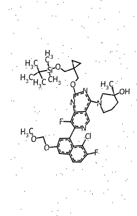 COCOc1cc(-c2ncc3c(N4CCC[C@@](C)(O)C4)nc(OCC4(CO[Si](C)(C)C(C)(C)C)CC4)nc3c2F)c2c(Cl)c(F)ccc2c1